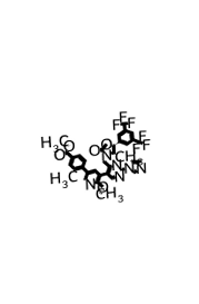 COC(=O)c1ccc(-c2cnc(OC)c(-c3cnc(-n4ccnc4)nc3CN3C(=O)O[C@H](c4cc(C(F)(F)F)cc(C(F)(F)F)c4)[C@@H]3C)c2)c(C)c1